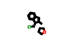 C1CCOC1.CC1=Cc2ccccc2[CH]1[V][Cl]